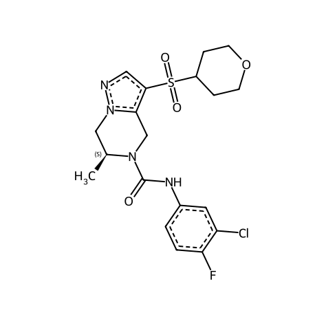 C[C@H]1Cn2ncc(S(=O)(=O)C3CCOCC3)c2CN1C(=O)Nc1ccc(F)c(Cl)c1